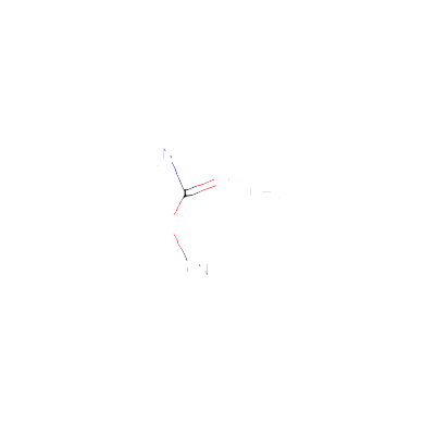 C.N#COC(N)=O